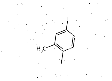 Cc1cc(I)ccc1I